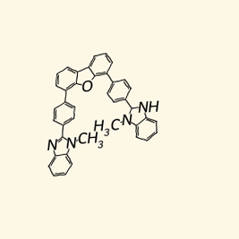 CN1c2ccccc2NC1c1ccc(-c2cccc3c2oc2c(-c4ccc(-c5nc6ccccc6n5C)cc4)cccc23)cc1